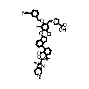 CN1CCc2c(nc(C(=O)Nc3cccc(-c4cccc5c4CCC5Oc4c(Cl)cc(CN5CCC(C(=O)O)C5)c(OCc5cccc(C#N)c5)c4F)c3Cl)n2C)C1